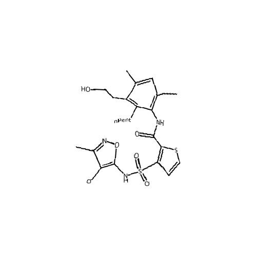 CCCCCc1c(CCO)c(C)cc(C)c1NC(=O)c1sccc1S(=O)(=O)Nc1onc(C)c1Cl